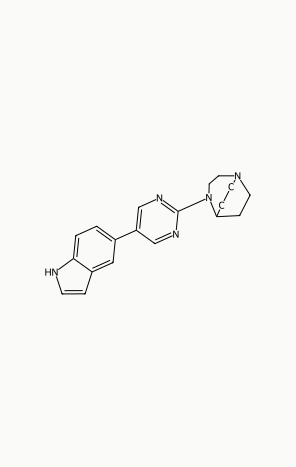 c1cc2cc(-c3cnc(N4CCN5CCC4CC5)nc3)ccc2[nH]1